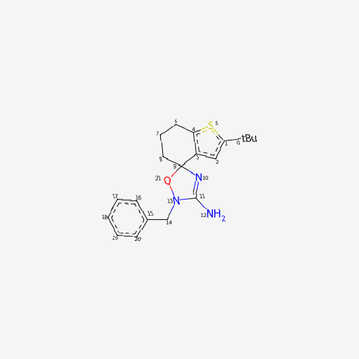 CC(C)(C)c1cc2c(s1)CCCC21N=C(N)N(Cc2ccccc2)O1